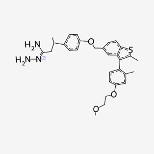 COCCOc1ccc(-c2c(C)sc3ccc(COc4ccc(C(C)C/C(N)=N/N)cc4)cc23)c(C)c1